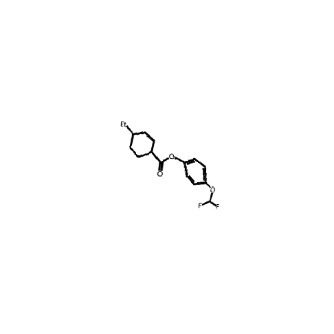 CCC1CCC(C(=O)Oc2ccc(OC(F)F)cc2)CC1